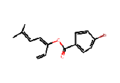 C=C/C(=C\C=C(C)C)OC(=O)c1ccc(Br)cc1